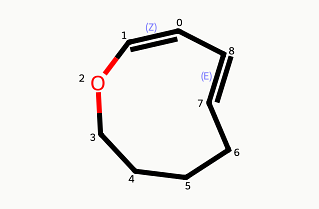 C1=C\OCCCC/C=C/1